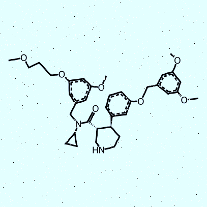 COCCCOc1cc(CN(C(=O)[C@H]2CNCC[C@@H]2c2cccc(OCc3cc(OC)cc(OC)c3)c2)C2CC2)cc(OC)c1